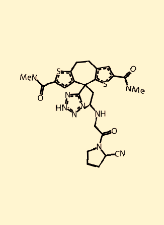 CNC(=O)c1cc2c(s1)CCc1cc(C(=O)NC)sc1C2(C[C@H](C)NCC(=O)N1CCCC1C#N)c1nn[nH]n1